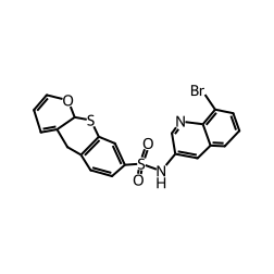 O=S(=O)(Nc1cnc2c(Br)cccc2c1)c1ccc2c(c1)SC1OC=CC=C1C2